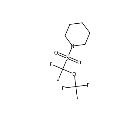 CC(F)(F)OC(F)(F)S(=O)(=O)N1CCCCC1